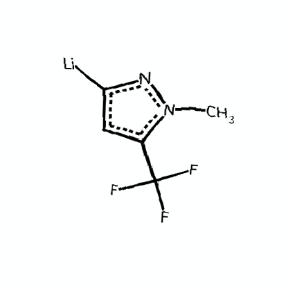 [Li][c]1cc(C(F)(F)F)n(C)n1